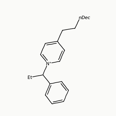 CCCCCCCCCCCCc1cc[n+](C(CC)c2ccccc2)cc1